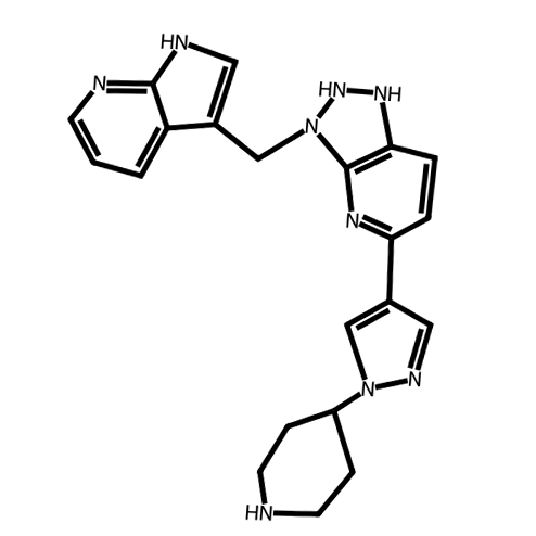 c1cnc2[nH]cc(CN3NNc4ccc(-c5cnn(C6CCNCC6)c5)nc43)c2c1